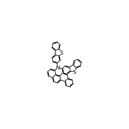 c1ccc2c(c1)ccc1c2ccc2cccc(N(c3ccc4c(c3)sc3ccccc34)c3ccc4sc5ccccc5c4c3)c21